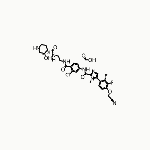 Cn1c(-c2ccc(OCC#N)c(F)c2F)cnc1C(=O)Nc1ccc(C(=O)NCCNC(=O)[C@H]2CCNC[C@@H]2O)c(Cl)c1.O=CO